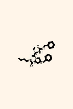 CCCCNC(=O)[C@@H]1C[C@H](Cc2ccccc2)CN1C(=O)[C@H](CC)NC(=O)OCc1ccccc1